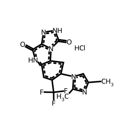 Cc1cn(-c2cc3c(cc2C(F)(F)F)[nH]c(=O)c2n[nH]c(=O)n23)c(C)n1.Cl